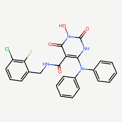 O=C(NCc1cccc(Cl)c1F)c1c(N(c2ccccc2)c2ccccc2)[nH]c(=O)n(O)c1=O